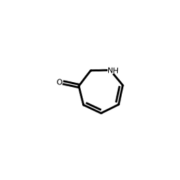 O=C1C=CC=CNC1